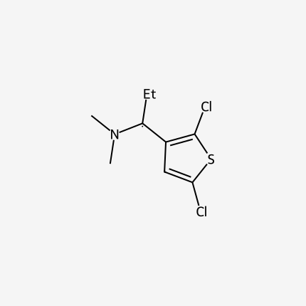 CC[C](c1cc(Cl)sc1Cl)N(C)C